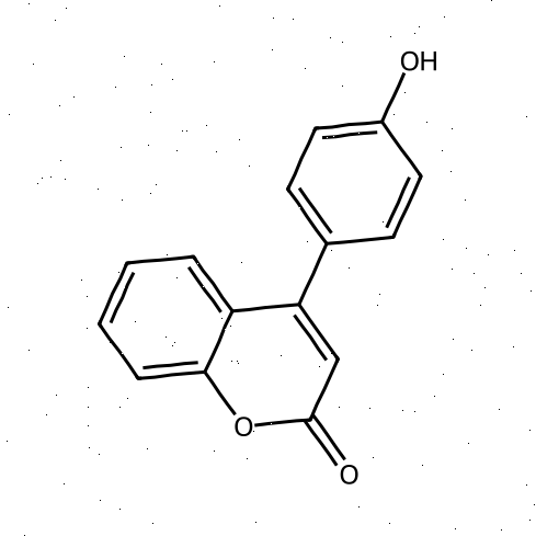 O=c1cc(-c2ccc(O)cc2)c2ccccc2o1